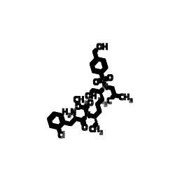 CC[C@@H](CCC[C@@H](CO)N(CC(C)C)S(=O)(=O)c1ccc(CO)cc1)N(C(=O)OC)C(=O)[C@@H](N)Cc1ccccc1Cl